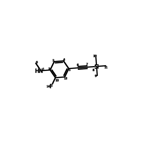 CNc1ccc(C#C[Si](C)(C)C)cc1F